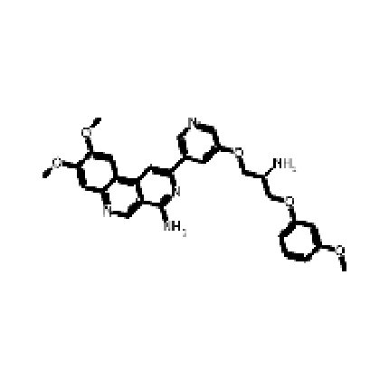 COc1cccc(OC[C@H](N)COc2cncc(-c3cc4c(cnc5cc(OC)c(OC)cc54)c(N)n3)c2)c1